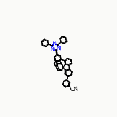 N#Cc1cccc(-c2ccc3c(c2)C2(c4c(-c5cccc(-c6nc(-c7ccccc7)nc(-c7ccccc7)n6)c5)cccc4-3)C3CC4CC(C3)CC2C4)c1